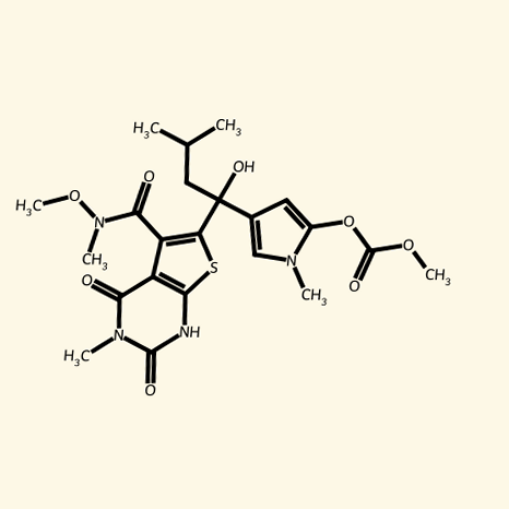 COC(=O)Oc1cc(C(O)(CC(C)C)c2sc3[nH]c(=O)n(C)c(=O)c3c2C(=O)N(C)OC)cn1C